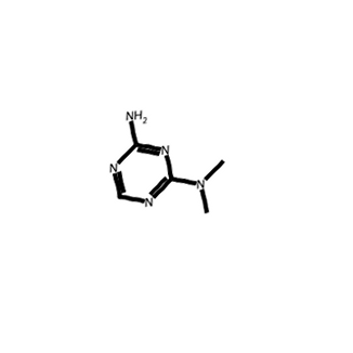 CN(C)c1ncnc(N)n1